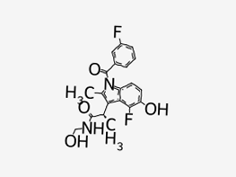 Cc1c([C@@H](C)C(=O)NCO)c2c(F)c(O)ccc2n1C(=O)c1cccc(F)c1